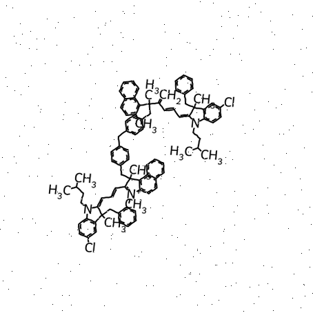 C=C(/C=C/C=C1/N(CCC(C)C)c2ccc(Cl)cc2C1(C)Cc1ccccc1)C(C)(Cc1ccc(Cc2ccc(CC3(C)C(/C=C/C=C4/N(CCC(C)C)c5ccc(Cl)cc5C4(C)Cc4ccccc4)=[N+](C)c4ccc5ccccc5c43)cc2)cc1)c1c(C)ccc2ccccc12